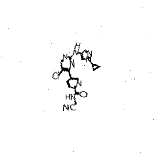 N#CCNC(=O)c1ccc(-c2nc(Nc3cnn(C4CC4)c3)ncc2Cl)cn1